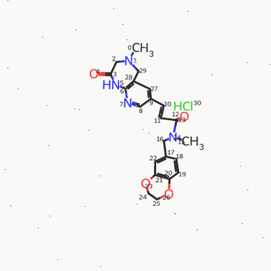 CN1CC(=O)Nc2ncc(/C=C/C(=O)N(C)Cc3ccc4c(c3)OCCO4)cc2C1.Cl